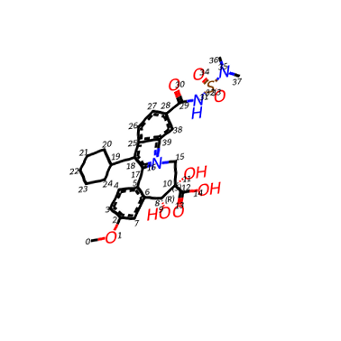 COc1ccc2c(c1)[C@@H](O)[C@](O)(C(=O)O)Cn1c-2c(C2CCCCC2)c2ccc(C(=O)NS(=O)(=O)N(C)C)cc21